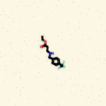 CCOC(=O)CCNCc1ccc(C(F)(F)F)cc1